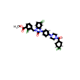 COC(=O)c1cccc(Cn2c(=O)n(-c3ccc(N4CCN(C(=O)C5CCC(F)(F)CC5)CC4)cc3)c3cc(Cl)ccc32)c1F